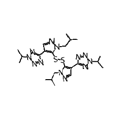 CC(C)Cn1ncc(-c2nnn(C(C)C)n2)c1SSc1c(-c2nnn(C(C)C)n2)cnn1CC(C)C